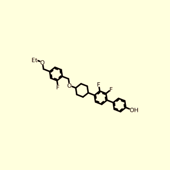 CCOCc1ccc(COC2CCC(c3ccc(-c4ccc(O)cc4)c(F)c3F)CC2)c(F)c1